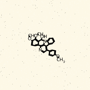 COc1ccc(-c2cnc3c4c2c2ccccc2n4C(O)c2c-3ccc(OC)c2OC)cc1